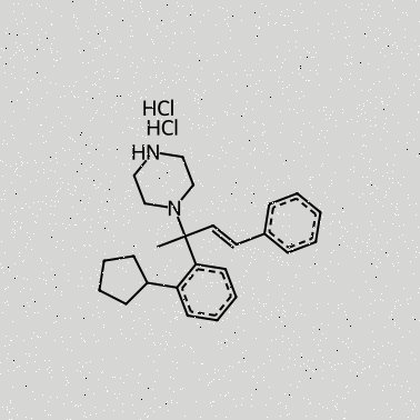 CC(C=Cc1ccccc1)(c1ccccc1C1CCCC1)N1CCNCC1.Cl.Cl